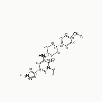 CCn1cc(-c2cnn(C)c2)cc(N[C@H]2CC[C@@H](c3ccc(OC)cc3)CC2)c1=O